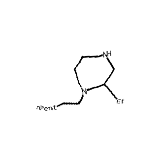 CCCCCCN1CCNCC1CC